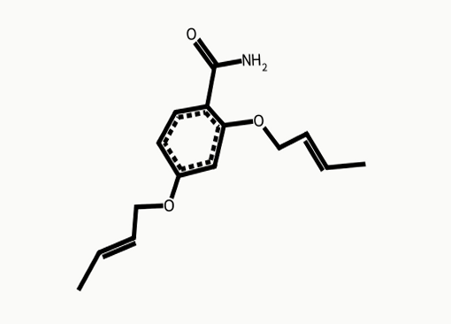 CC=CCOc1ccc(C(N)=O)c(OCC=CC)c1